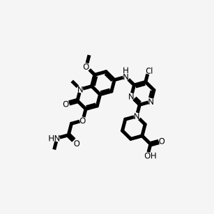 CNC(=O)COc1cc2cc(Nc3nc(N4CCCC(C(=O)O)C4)ncc3Cl)cc(OC)c2n(C)c1=O